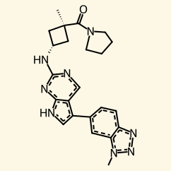 Cn1nnc2ccc(-c3c[nH]c4nc(N[C@H]5C[C@](C)(C(=O)N6CCCC6)C5)ncc34)cc21